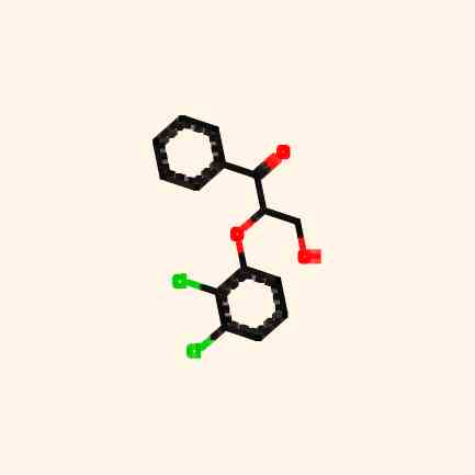 O=C(c1ccccc1)C(CO)Oc1cccc(Cl)c1Cl